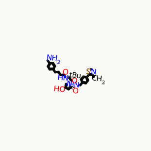 Cc1ncsc1-c1ccc(CNC(=O)[C@@H]2C[C@@H](O)CN2C(=O)[C@@H](NC(=O)CCCc2ccc(CN)cc2)C(C)(C)C)cc1